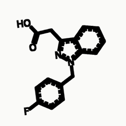 O=C(O)Cc1nn(Cc2ccc(F)cc2)c2ccccc12